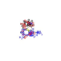 CC(=O)O[C@H]1C(=O)[C@@]2(C)[C@H]([C@H](OC(=O)c3ccccc3)[C@]3(O)C[C@H](OC(=O)[C@H](O)[C@@H](NC(=O)c4ccccc4)c4ccccc4)C(C)=C1C3(C)C)[C@]1(OC(C)=O)CO[C@@H]1C[C@@H]2O.N=C(N)NCCC[C@H](NC(=O)[C@@H]1CCCN1C(=O)[C@@H]1CSSCCC(=O)N[C@@H](Cc2ccc(O)cc2)C(=O)N[C@@H](Cc2ccccc2)C(=O)N[C@@H](CCC(N)=O)C(=O)N[C@@H](CC(N)=O)C(=O)N1)C(=O)NCC(N)=O